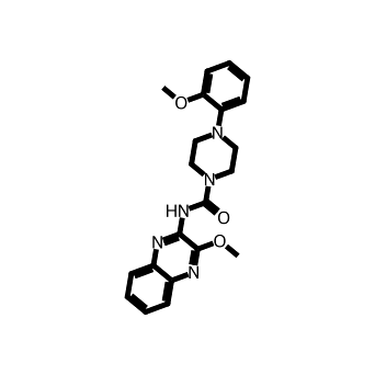 COc1ccccc1N1CCN(C(=O)Nc2nc3ccccc3nc2OC)CC1